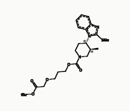 CSc1nc2ccccc2n1[C@H]1CCN(C(=O)OCCCOCC(=O)OC(C)(C)C)C[C@@H]1C